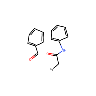 O=C([CH2][Fe])Nc1ccccc1.O=Cc1ccccc1